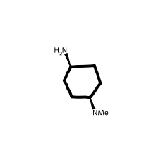 CN[C@H]1CC[C@@H](N)CC1